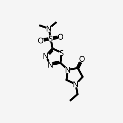 CCN1CC(=O)N(c2nnc(S(=O)(=O)N(C)C)s2)C1